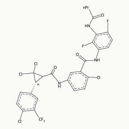 CCCC(=O)Nc1c(F)ccc(NC(=O)c2cc(NC(=O)C3[C@H](c4ccc(Cl)c(C(F)(F)F)c4)C3(Cl)Cl)ccc2Cl)c1F